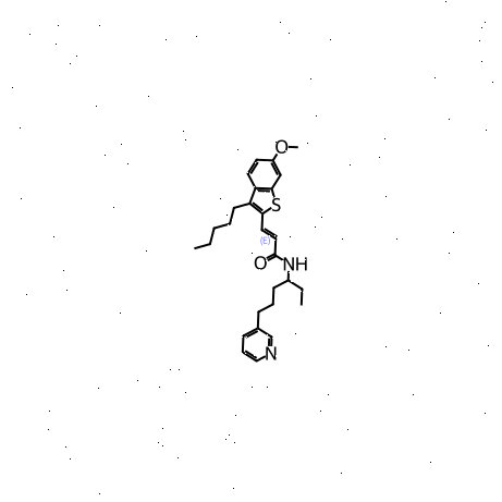 CCCCCc1c(/C=C/C(=O)NC(CC)CCCc2cccnc2)sc2cc(OC)ccc12